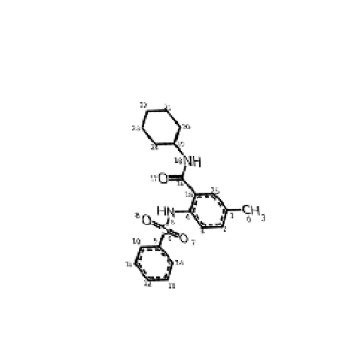 Cc1ccc(NS(=O)(=O)c2ccccc2)c(C(=O)NC2CCCCC2)c1